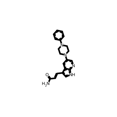 NC(=O)/C=C/c1c[nH]c2ncc(N3CCN(c4ccccc4)CC3)cc12